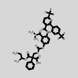 CCC(C)OC(=O)C(COC(=O)Oc1ccc(NC(=O)c2ccc(C(F)(F)F)nc2-c2ccc(C(F)(F)F)cc2)c(C(=O)N(C)C)c1)(C(=O)O)c1ccccc1